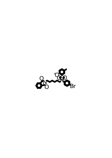 COc1ccc(C)cc1S(=O)(=O)N(CCCCCCN1C(=O)c2ccccc2C1=O)c1ccc(Br)cc1